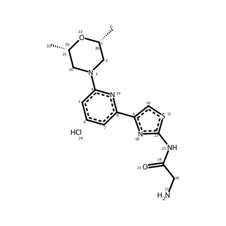 C[C@@H]1CN(c2cccc(-c3csc(NC(=O)CN)n3)n2)C[C@H](C)O1.Cl